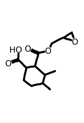 CC1CCC(C(=O)O)C(C(=O)OCC2CO2)C1C